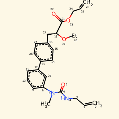 C=CCNC(=O)N(C)c1cccc(-c2ccc(C[C@H](OCC)C(=O)OCC=C)cc2)c1